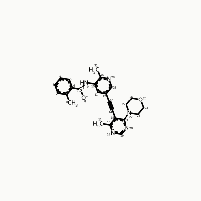 Cc1ccccc1[S+]([O-])Nc1cc(C#Cc2c(C)ncnc2N2CCOCC2)cnc1C